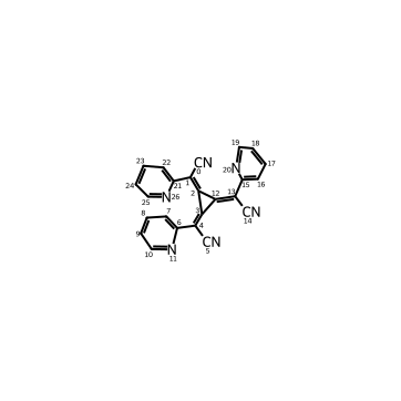 N#CC(=C1C(=C(C#N)c2ccccn2)C1=C(C#N)c1ccccn1)c1ccccn1